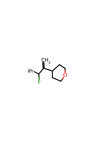 C=C(C1CCOCC1)C(F)C(C)C